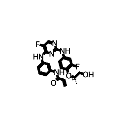 C=CC(=O)Nc1cccc(Nc2nc(Nc3ccc(O[C@@H](C)CO)c(F)c3)ncc2F)c1